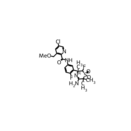 COCc1cc(Cl)cnc1C(=O)Nc1ccc(F)c([C@@]2(C)N=C(N)C(C)(C)S(=O)(=O)C2F)c1